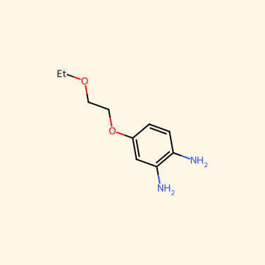 CCOCCOc1ccc(N)c(N)c1